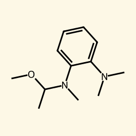 COC(C)N(C)c1ccccc1N(C)C